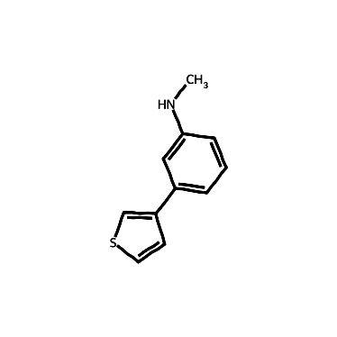 CNc1cccc(-c2ccsc2)c1